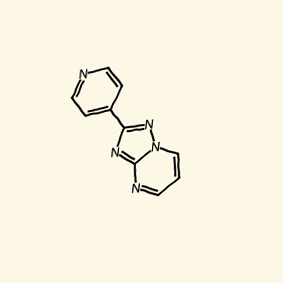 c1cnc2nc(-c3ccncc3)nn2c1